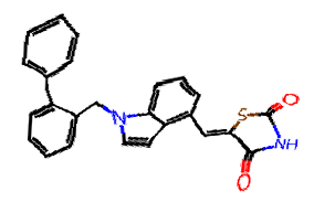 O=C1NC(=O)/C(=C/c2cccc3c2ccn3Cc2ccccc2-c2ccccc2)S1